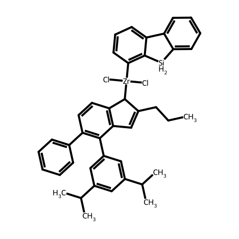 CCCC1=Cc2c(ccc(-c3ccccc3)c2-c2cc(C(C)C)cc(C(C)C)c2)[CH]1[Zr]([Cl])([Cl])[c]1cccc2c1[SiH2]c1ccccc1-2